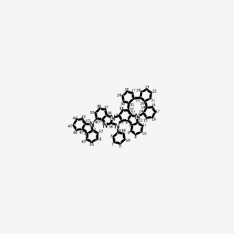 c1ccc(-n2c3c4c5ccccc5n5c6ccccc6c6ccccc6c6ccccc6c(cc3n3c6cccc(-n7c8ccccc8c8ccccc87)c6nc23)c45)cc1